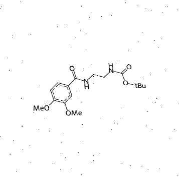 COc1ccc(C(=O)NCCNC(=O)OC(C)(C)C)cc1OC